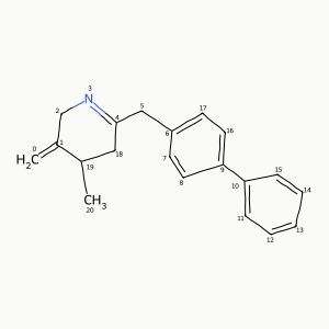 C=C1CN=C(Cc2ccc(-c3ccccc3)cc2)CC1C